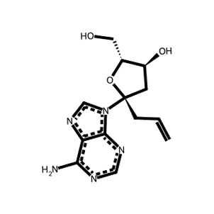 C=CC[C@]1(n2cnc3c(N)ncnc32)C[C@H](O)[C@@H](CO)O1